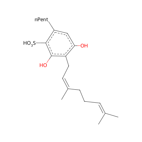 CCCCCc1cc(O)c(CC=C(C)CCC=C(C)C)c(O)c1S(=O)(=O)O